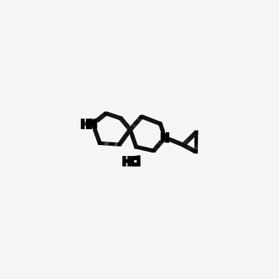 C1CC2(CCN1)CCN(C1CC1)CC2.Cl